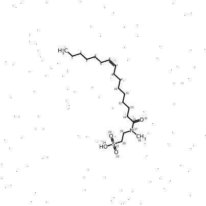 CCCCCC/C=C\CCCCCCCC(=O)N(C)CCS(=O)(=O)O